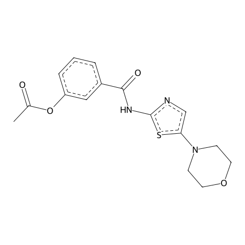 CC(=O)Oc1cccc(C(=O)Nc2ncc(N3CCOCC3)s2)c1